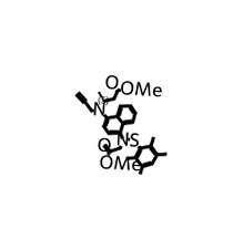 C#CCN(c1ccc(N(CC(=O)OC)Sc2c(C)c(C)cc(C)c2C)c2ccccc12)[C@@H](C)CC(=O)OC